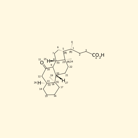 C[C@H](CCC(=O)O)[C@H]1CC[C@H]2C3C(=O)C[C@@H]4CCCC[C@]4(C)[C@H]3CC[C@]12C